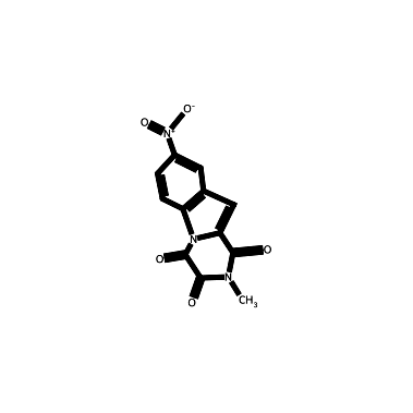 CN1C(=O)C(=O)n2c(cc3cc([N+](=O)[O-])ccc32)C1=O